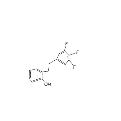 Oc1ccccc1CCc1cc(F)c(F)c(F)c1